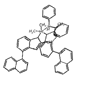 CC1=Cc2c(-c3cccc4ccccc34)cccc2[CH]1[Hf]([CH3])([CH3])([CH]1C(C)=Cc2c(-c3cccc4ccccc34)cccc21)[SiH](c1ccccc1)c1ccccc1